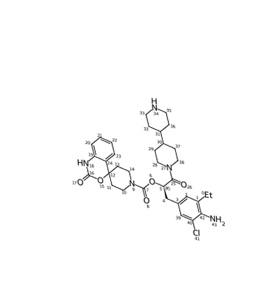 CCc1cc(C[C@@H](OC(=O)N2CCC3(CC2)OC(=O)Nc2ccccc23)C(=O)N2CCC(C3CCNCC3)CC2)cc(Cl)c1N